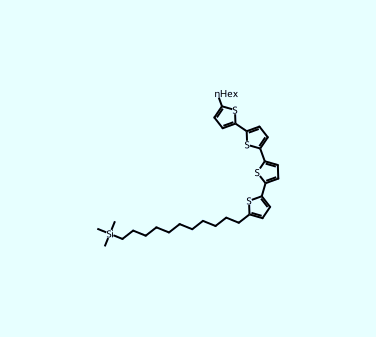 CCCCCCc1ccc(-c2ccc(-c3ccc(-c4ccc(CCCCCCCCCCC[Si](C)(C)C)s4)s3)s2)s1